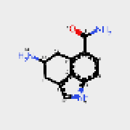 NC(=O)c1ccc2[nH]cc3c2c1CC(N)C3